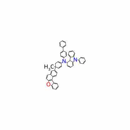 CC1(c2ccc3c(ccc4oc5ccccc5c43)c2)C=CC(N(c2ccc(-c3ccccc3)cc2)C2C=CC=C3C2c2ccccc2N3c2ccccc2)=CC1